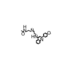 COc1ccc(-c2cc(NCCCN(C)CCCNC(C)=O)c3ccccc3n2)cc1